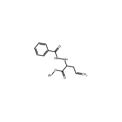 C=CCC(NNC(=O)c1ccccc1)C(=O)OC(C)C